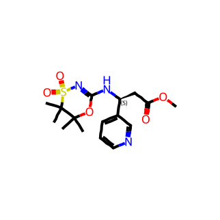 COC(=O)C[C@H](NC1=NS(=O)(=O)C(C)(C)C(C)(C)O1)c1cccnc1